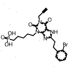 C#CCn1c(=O)c2[nH]c(CCc3ccccc3Br)nc2n(CCCCCP(=O)(O)O)c1=O